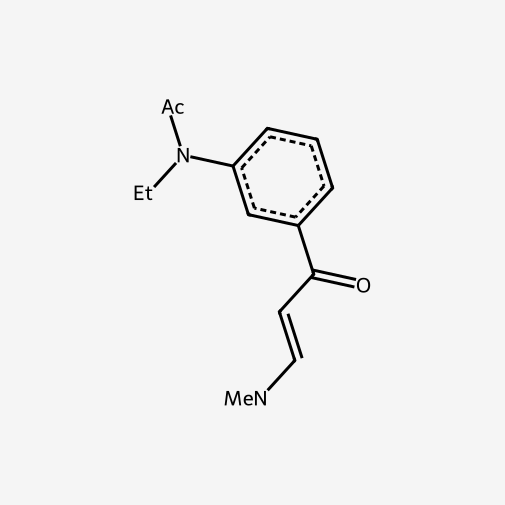 CCN(C(C)=O)c1cccc(C(=O)/C=C/NC)c1